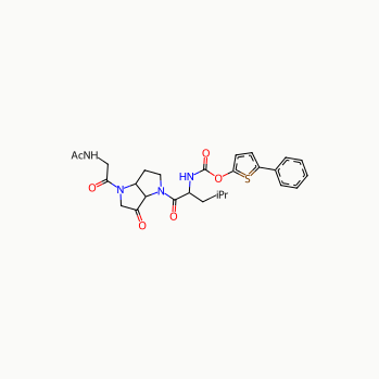 CC(=O)NCC(=O)N1CC(=O)C2C1CCN2C(=O)C(CC(C)C)NC(=O)Oc1ccc(-c2ccccc2)s1